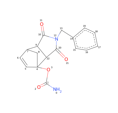 NC(=O)OC12C=CC(C1)C1C(=O)N(Cc3ccccc3)C(=O)C12